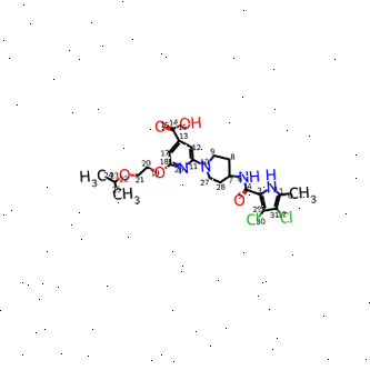 Cc1[nH]c(C(=O)NC2CCN(c3cc(C(=O)O)cc(OCCOC(C)C)n3)CC2)c(Cl)c1Cl